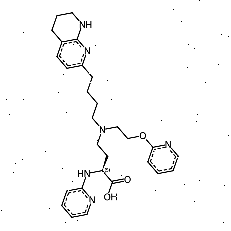 O=C(O)[C@H](CCN(CCCCc1ccc2c(n1)NCCC2)CCOc1ccccn1)Nc1ccccn1